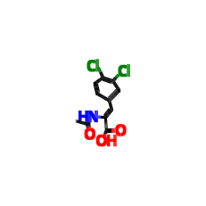 CC(=O)NC(=Cc1ccc(Cl)c(Cl)c1)C(=O)O